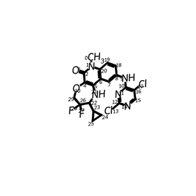 Cn1c(=O)c2c(c3cc(Nc4nc(Cl)ncc4Cl)ccc31)NC(C1CC1)C(F)(F)CO2